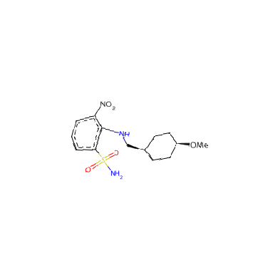 CO[C@H]1CC[C@@H](CNc2c([N+](=O)[O-])cccc2S(N)(=O)=O)CC1